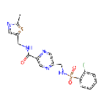 Cc1ncc(CNC(=O)c2cnc(CNS(=O)(=O)c3ccccc3F)cn2)s1